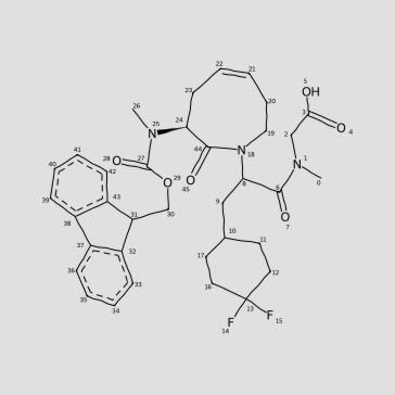 CN(CC(=O)O)C(=O)C(CC1CCC(F)(F)CC1)N1CC/C=C\C[C@H](N(C)C(=O)OCC2c3ccccc3-c3ccccc32)C1=O